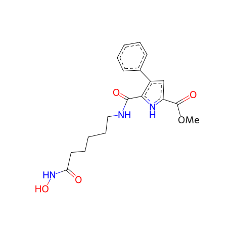 COC(=O)c1cc(-c2ccccc2)c(C(=O)NCCCCCC(=O)NO)[nH]1